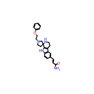 NC(=O)/C=C/c1ccc2[nH]c3c(c2c1)CCNC31CCN(CCOc2ccccc2)C1